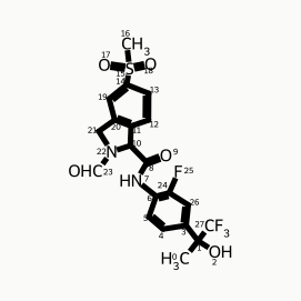 CC(O)(c1ccc(NC(=O)C2c3ccc(S(C)(=O)=O)cc3CN2C=O)c(F)c1)C(F)(F)F